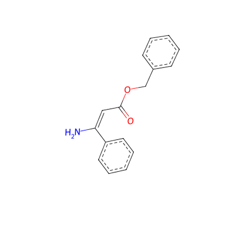 N/C(=C/C(=O)OCc1ccccc1)c1ccccc1